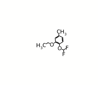 CCOc1cc(C)ccc1OC(F)F